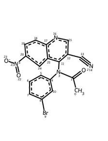 CC(=O)N(c1cccc(Br)c1)c1c(C#N)cnc2ccc([N+](=O)[O-])cc12